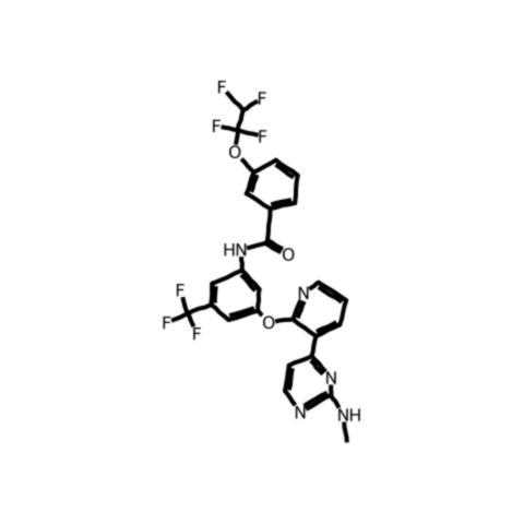 CNc1nccc(-c2cccnc2Oc2cc(NC(=O)c3cccc(OC(F)(F)C(F)F)c3)cc(C(F)(F)F)c2)n1